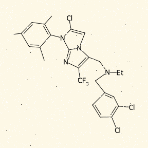 CCN(Cc1ccc(Cl)c(Cl)c1)Cc1c(C(F)(F)F)nc2n(-c3c(C)cc(C)cc3C)c(Cl)cn12